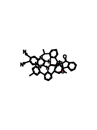 Cc1cc(C)cc(-c2cccc(-c3cc(C)cc(C)c3)c2N2/C(=C/C=C3C(=O)c4ccccc4C3=O)N(c3c(C(C)C)cccc3C(C)C)c3nc4cc(C#N)c(C#N)cc4nc32)c1